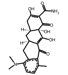 Cc1ccc(N(C)C)c2c1C(=O)C1=C(O)[C@]3(O)C(=O)C(C(N)=O)=C(O)C[C@@H]3C[C@@H]1C2